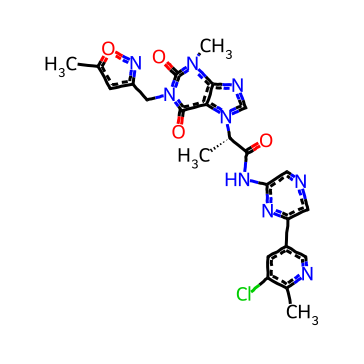 Cc1cc(Cn2c(=O)c3c(ncn3[C@@H](C)C(=O)Nc3cncc(-c4cnc(C)c(Cl)c4)n3)n(C)c2=O)no1